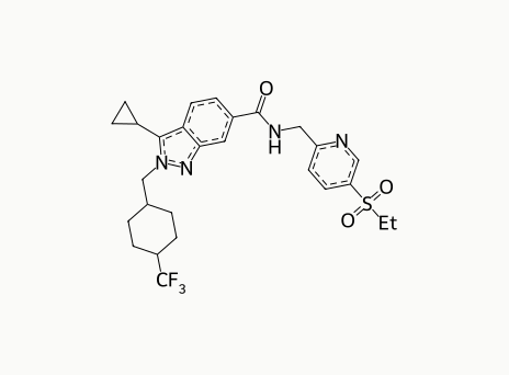 CCS(=O)(=O)c1ccc(CNC(=O)c2ccc3c(C4CC4)n(CC4CCC(C(F)(F)F)CC4)nc3c2)nc1